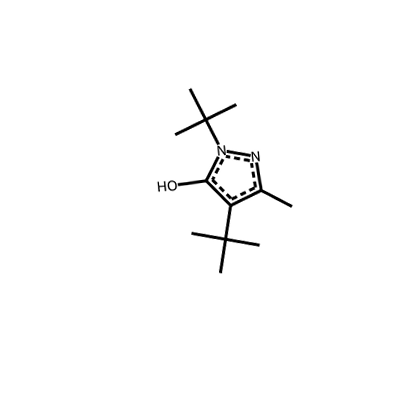 Cc1nn(C(C)(C)C)c(O)c1C(C)(C)C